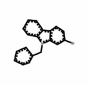 Brc1ccc2c3ccccc3n(Cc3ccccc3)c2c1